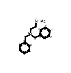 CC(=O)NCCN(Cc1ccccc1)Cc1ccccc1